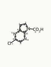 O=C(O)n1ccc2nc(Cl)cnc21